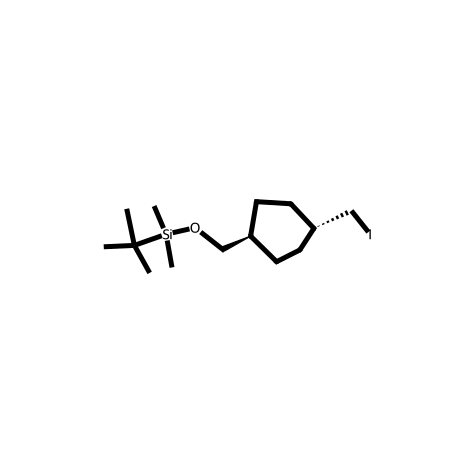 CC(C)(C)[Si](C)(C)OC[C@H]1CC[C@H](CI)CC1